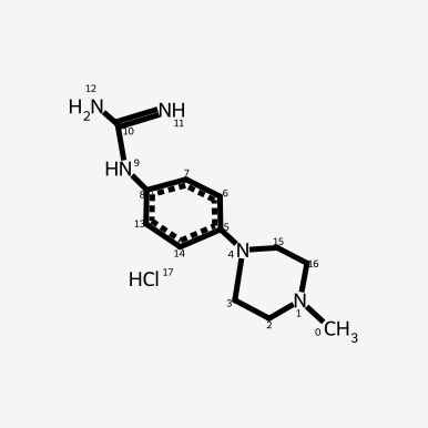 CN1CCN(c2ccc(NC(=N)N)cc2)CC1.Cl